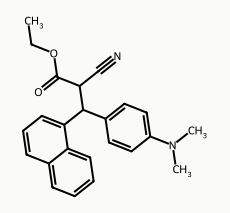 CCOC(=O)C(C#N)C(c1ccc(N(C)C)cc1)c1cccc2ccccc12